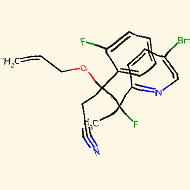 C=CCOC(CC#N)(c1ccccc1F)C(C)(F)c1ccc(Br)cn1